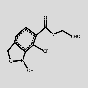 O=CCNC(=O)c1ccc2c(c1C(F)(F)F)B(O)OC2